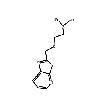 CC(C)N(CCSCc1nc2cccnc2s1)C(C)C